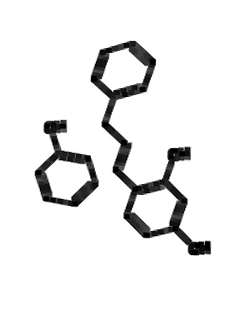 Oc1ccc(C=CCc2ccccc2)c(O)c1.Oc1ccccc1